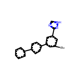 CC(C)(C)c1cc(-c2ccc(-c3ccccc3)cc2)cc(-c2nc[nH]n2)c1